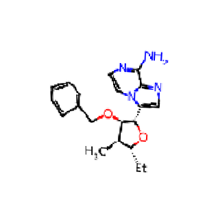 CC[C@H]1O[C@@H](c2cnc3c(N)nccn23)[C@H](OCc2ccccc2)[C@@H]1C